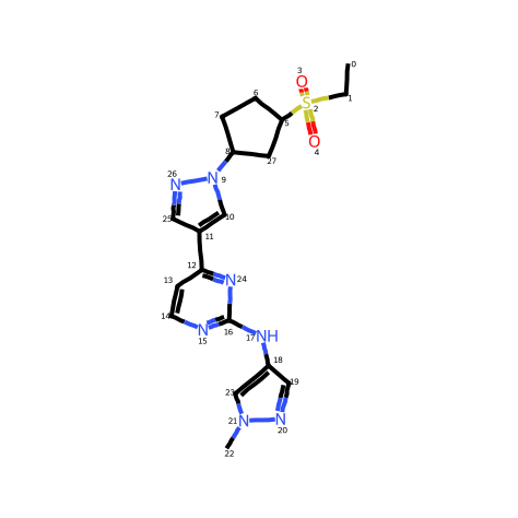 CCS(=O)(=O)C1CCC(n2cc(-c3ccnc(Nc4cnn(C)c4)n3)cn2)C1